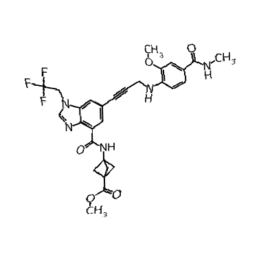 CNC(=O)c1ccc(NCC#Cc2cc(C(=O)NC34CC(C(=O)OC)(C3)C4)c3ncn(CC(F)(F)F)c3c2)c(OC)c1